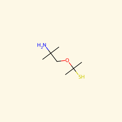 CC(C)(N)COC(C)(C)S